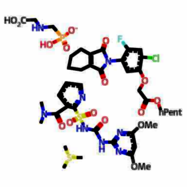 CCCCCOC(=O)COc1cc(N2C(=O)C3=C(CCCC3)C2=O)c(F)cc1Cl.COc1cc(OC)nc(NC(=O)NS(=O)(=O)c2ncccc2C(=O)N(C)C)n1.C[S+](C)C.O=C(O)CNCP(=O)([O-])O